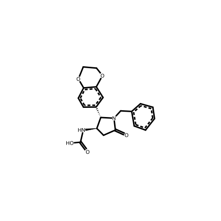 O=C(O)N[C@@H]1CC(=O)N(Cc2ccccc2)[C@H]1c1ccc2c(c1)OCCO2